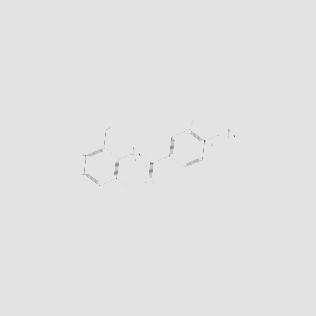 Cc1cccc(C)c1NC(=O)c1ccc(C#N)cc1